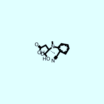 CN(c1ccccc1C#N)[C@](C)(CC(=O)O)C(=O)O